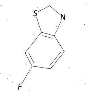 Fc1ccc2c(c1)SC[N]2